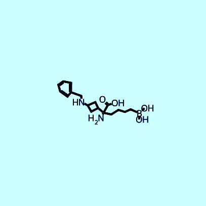 NC(CCCCB(O)O)(C(=O)O)C1CC(NCc2ccccc2)C1